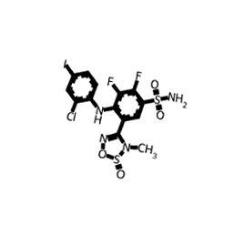 CN1C(c2cc(S(N)(=O)=O)c(F)c(F)c2Nc2ccc(I)cc2Cl)=NOS1=O